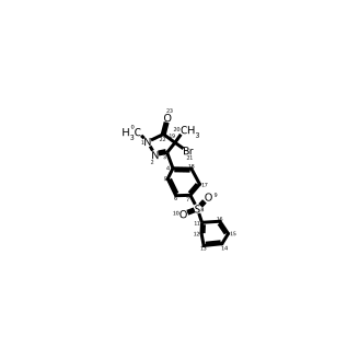 CN1N=C(c2ccc(S(=O)(=O)c3ccccc3)cc2)C(C)(Br)C1=O